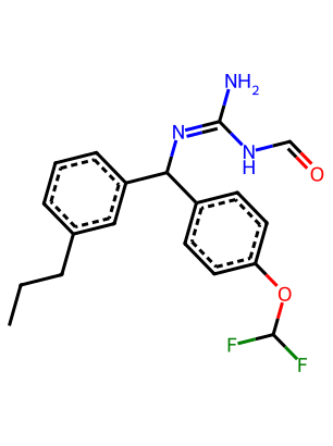 CCCc1cccc(C(/N=C(/N)NC=O)c2ccc(OC(F)F)cc2)c1